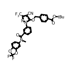 CN(C(=O)c1cccc(-n2nc(C(F)(F)F)c(C#N)c2OCc2ccc(C(=O)OC(C)(C)C)cc2)c1)c1ccc2c(c1)OC(F)(F)O2